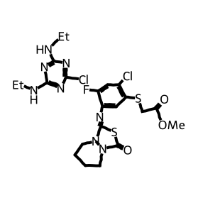 CCNc1nc(Cl)nc(NCC)n1.COC(=O)CSc1cc(/N=c2\sc(=O)n3n2CCCC3)c(F)cc1Cl